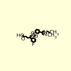 CC(C)Cn1cc(-c2cccc(S(=O)(=O)n3cc(CCC(=O)O)c4cc(F)ccc43)c2)cn1